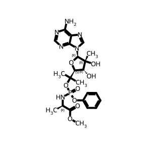 COC(=O)[C@@H](C)NP(=O)(Oc1ccccc1)OC(C)(C)[C@H]1O[C@@H](n2cnc3c(N)ncnc32)[C@](C)(O)[C@@H]1O